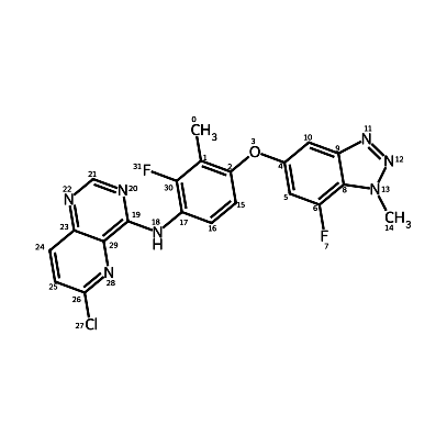 Cc1c(Oc2cc(F)c3c(c2)nnn3C)ccc(Nc2ncnc3ccc(Cl)nc23)c1F